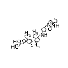 Cc1cc(-c2cccc(CNc3ccc(Cn4oc(=O)[nH]c4=O)cc3)c2C)c(C)cc1OC[C@H](O)CO